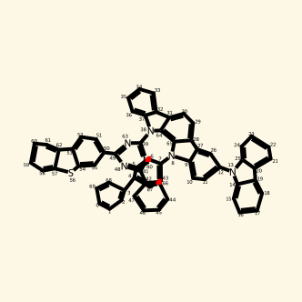 c1ccc(-c2ccc(-n3c4ccc(-n5c6ccccc6c6ccccc65)cc4c4ccc5c6ccccc6n(-c6nc(-c7ccccc7)nc(-c7ccc8c(c7)sc7ccccc78)n6)c5c43)cc2)cc1